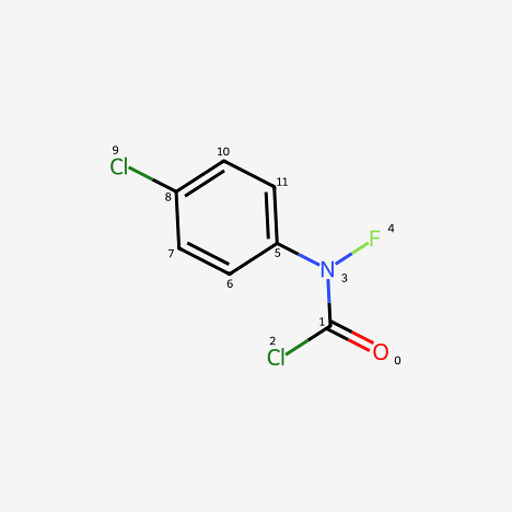 O=C(Cl)N(F)c1ccc(Cl)cc1